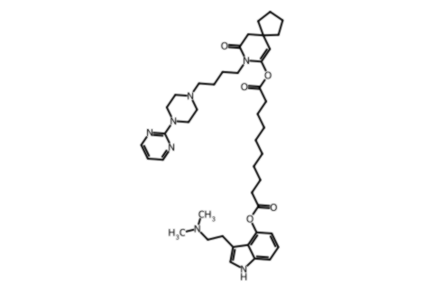 CN(C)CCc1c[nH]c2cccc(OC(=O)CCCCCCCCC(=O)OC3=CC4(CCCC4)CC(=O)N3CCCCN3CCN(c4ncccn4)CC3)c12